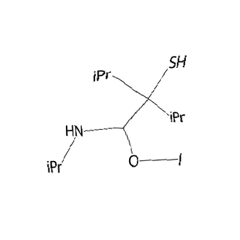 CC(C)NC(OI)C(S)(C(C)C)C(C)C